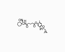 Cc1cc(OCCN(C)C)c(C(C)C)cc1OC(=O)CCCC(=O)NCC1(SN=O)CCCCC1